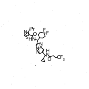 CC(C)c1ncsc1C(=O)N[C@H](c1cn2ncc(C(NC(=O)CCC(F)(F)F)C3CC3)cc2n1)C1CCC(F)(F)CC1